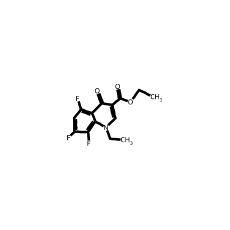 CCOC(=O)c1cn(CC)c2c(F)c(F)cc(F)c2c1=O